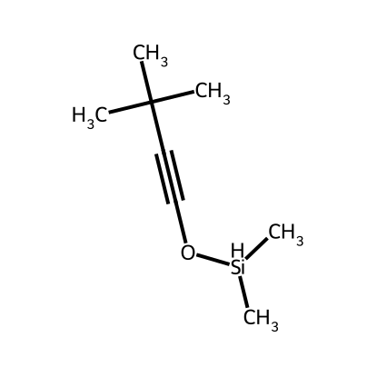 C[SiH](C)OC#CC(C)(C)C